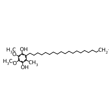 [CH2]CCCCCCCCCCCCCCCCCCc1c(C)c(O)c(OC)c(OC)c1O